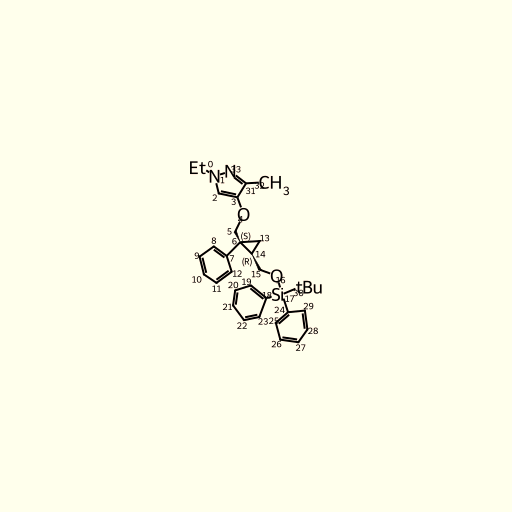 CCn1cc(OC[C@@]2(c3ccccc3)C[C@H]2CO[Si](c2ccccc2)(c2ccccc2)C(C)(C)C)c(C)n1